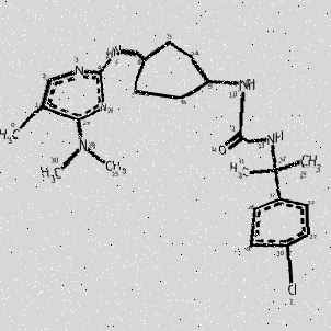 Cc1cnc(NC2CCC(NC(=O)NC(C)(C)c3ccc(Cl)cc3)CC2)nc1N(C)C